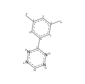 Cc1cc(C)cc(-c2nncnn2)c1